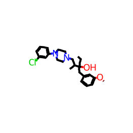 CCC(O)(Cc1cccc(OC)c1)C(C)CN1CCN(c2cccc(Cl)c2)CC1